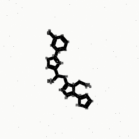 CCn1c(SC(C)c2noc(-c3cccc(Cl)c3)n2)nnc1-c1cccs1